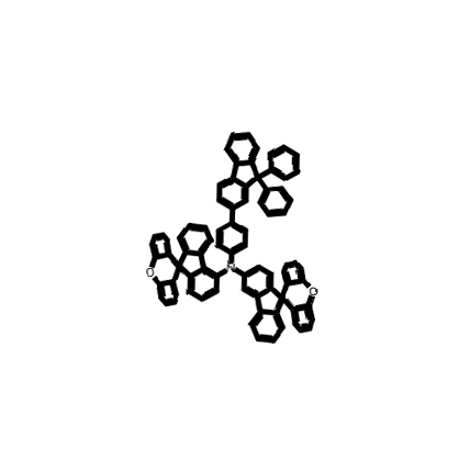 c1ccc(C2(c3ccccc3)c3ccccc3-c3ccc(-c4ccc(N(c5ccc6c(c5)-c5ccccc5C65c6ccccc6Oc6ccccc65)c5cccc6c5-c5ccccc5C65c6ccccc6Oc6ccccc65)cc4)cc32)cc1